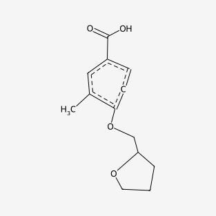 Cc1cc(C(=O)O)ccc1OCC1CCCO1